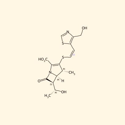 C[C@@H](O)[C@H]1C(=O)N2C(C(=O)O)=C(S/C=C\c3scnc3CO)[C@H](C)[C@@H]12